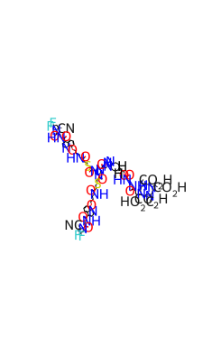 N#C[C@@H]1CC(F)(F)CN1C(=O)CNC(=O)c1ccnc2c(OCCCNC(=O)CCSCC(=O)N3CN(C(=O)CSCCC(=O)NCCCOc4cccc5c(C(=O)NCC(=O)N6CC(F)(F)C[C@H]6C#N)ccnc45)CN(C(=O)Cn4nnc5c4CC[C@H]4[C@@H](CC5)[C@H]4COC(=O)NCCNC(=O)CCC(C(=O)O)N4CCN(CC(=O)O)CCN(CC(=O)O)CCN(CC(=O)O)CC4)C3)cccc12